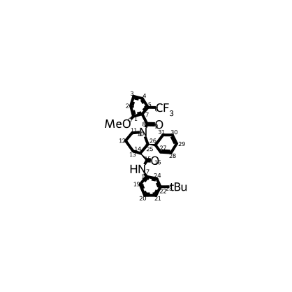 COc1cccc(C(F)(F)F)c1C(=O)N1CCC[C@H](C(=O)Nc2cccc(C(C)(C)C)c2)[C@@H]1C1C=CC=CC1